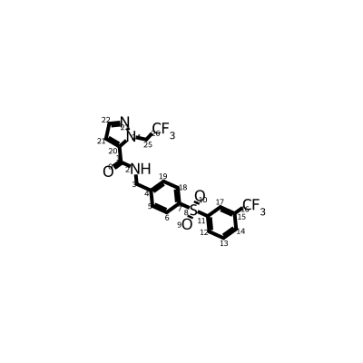 O=C(NCc1ccc(S(=O)(=O)c2cccc(C(F)(F)F)c2)cc1)c1ccnn1CC(F)(F)F